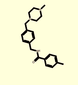 Cc1ccc(C(=O)NCc2ccc(CN3CCN(C)CC3)cc2)cc1